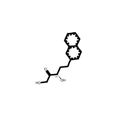 O=C(CO)[C@@H](O)CCc1ccc2ccccc2c1